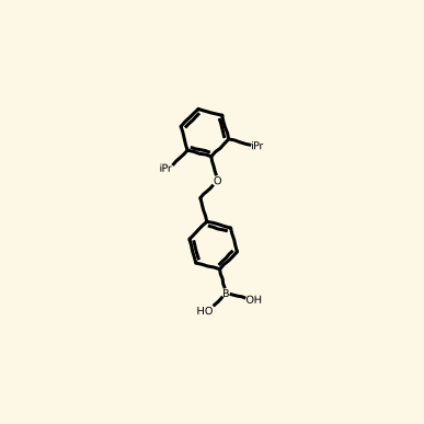 CC(C)c1cccc(C(C)C)c1OCc1ccc(B(O)O)cc1